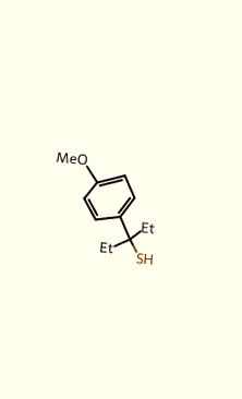 CCC(S)(CC)c1ccc(OC)cc1